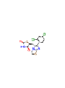 O=C1NC(=O)/C(=C\c2c(-c3ccc(Cl)cc3Cl)nc3sccn23)S1